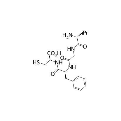 CC(C)[C@H](N)C(=O)NCC(=O)N[C@@H](Cc1ccccc1)C(=O)N[C@@H](CS)C(=O)O